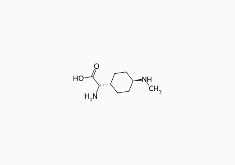 CN[C@H]1CC[C@H](C(N)C(=O)O)CC1